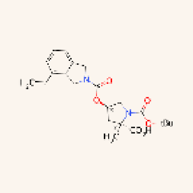 C=Cc1cccc2c1CN(C(=O)O[C@H]1CN(C(=O)OC(C)(C)C)[C@](C)(C(=O)O)C1)C2